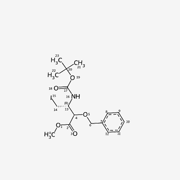 COC(=O)C(OCc1ccccc1)[C@H](CI)NC(=O)OC(C)(C)C